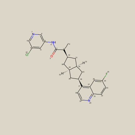 CC(C(=O)Nc1cncc(Cl)c1)[C@H]1C[C@H]2C[C@@H](c3ccnc4ccc(F)cc34)C[C@H]2C1